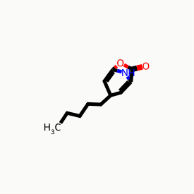 CCCCCC1C=c2[nH]c(c(=O)o2)=C1